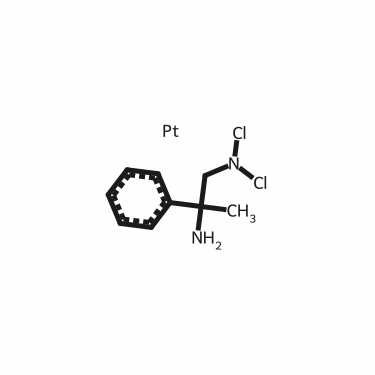 CC(N)(CN(Cl)Cl)c1ccccc1.[Pt]